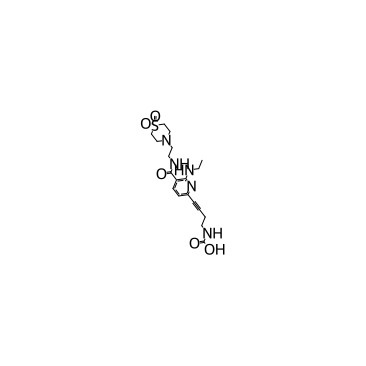 CCNc1nc(C#CCCNC(=O)O)ccc1C(=O)NCCN1CCS(=O)(=O)CC1